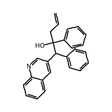 C=CCC(O)(c1ccccc1)C(c1ccccc1)c1cnc2ccccc2c1